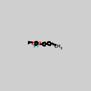 CCCCC1CCC(C2CC=C(COc3ccc(OCC4CC4)c(F)c3F)CC2)CC1